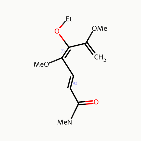 C=C(OC)/C(OCC)=C(\C=C\C(=O)NC)OC